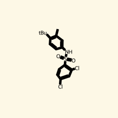 Cc1cc(NS(=O)(=O)c2ccc(Cl)cc2Cl)ccc1C(C)(C)C